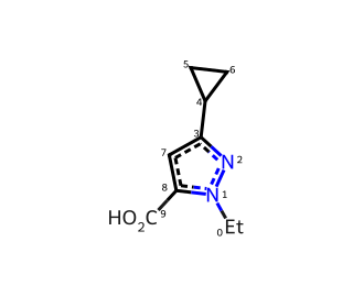 CCn1nc(C2CC2)cc1C(=O)O